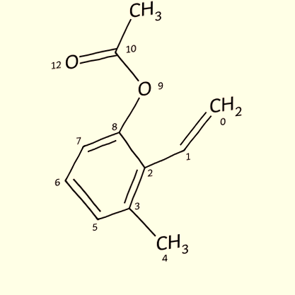 C=Cc1c(C)cccc1OC(C)=O